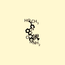 CC(CO)c1ccnc(-c2cccc3cc(C(NS(=O)(=O)C4CC4)c4nc(N)ncc4Cl)sc23)c1